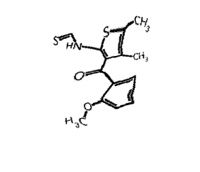 COc1ccccc1C(=O)c1c(NC=S)sc(C)c1C